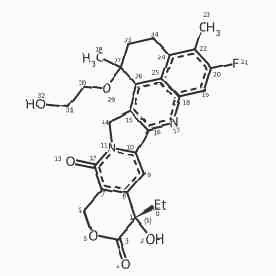 CC[C@@]1(O)C(=O)OCc2c1cc1n(c2=O)Cc2c-1nc1cc(F)c(C)c3c1c2C(C)(OCCO)CC3